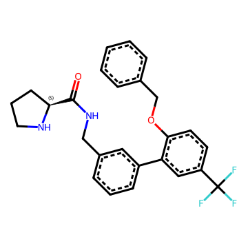 O=C(NCc1cccc(-c2cc(C(F)(F)F)ccc2OCc2ccccc2)c1)[C@@H]1CCCN1